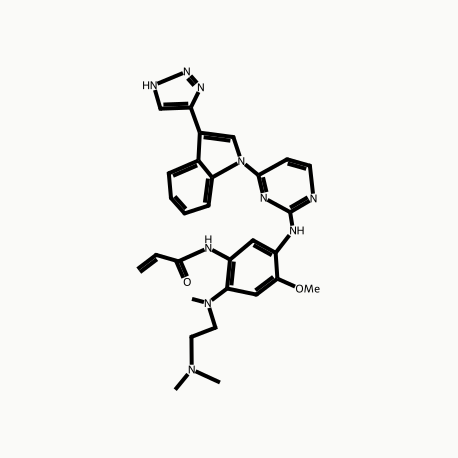 C=CC(=O)Nc1cc(Nc2nccc(-n3cc(-c4c[nH]nn4)c4ccccc43)n2)c(OC)cc1N(C)CCN(C)C